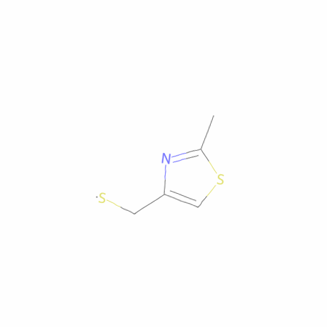 Cc1nc(C[S])cs1